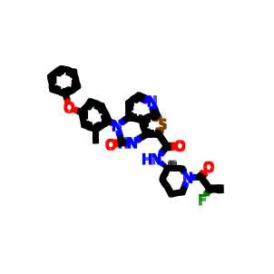 C=C(F)C(=O)N1CCC[C@@H](NC(=O)c2sc3nccc4c3c2NC(=O)N4c2ccc(Oc3ccccc3)cc2C)C1